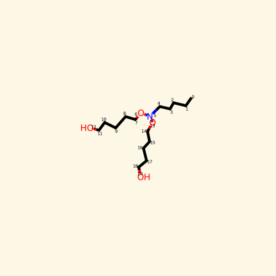 CCCCCN(OCCCCCO)OCCCCCO